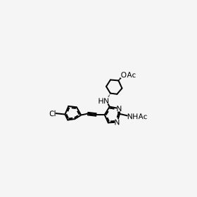 CC(=O)Nc1ncc(C#Cc2ccc(Cl)cc2)c(N[C@H]2CC[C@H](OC(C)=O)CC2)n1